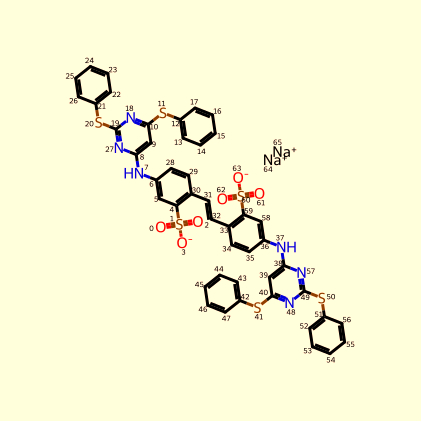 O=S(=O)([O-])c1cc(Nc2cc(Sc3ccccc3)nc(Sc3ccccc3)n2)ccc1/C=C/c1ccc(Nc2cc(Sc3ccccc3)nc(Sc3ccccc3)n2)cc1S(=O)(=O)[O-].[Na+].[Na+]